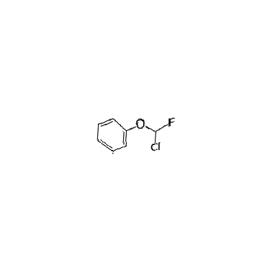 FC(Cl)Oc1c[c]ccc1